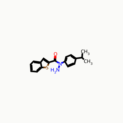 CC(C)c1ccc(N(N)C(=O)c2cc3ccccc3s2)cc1